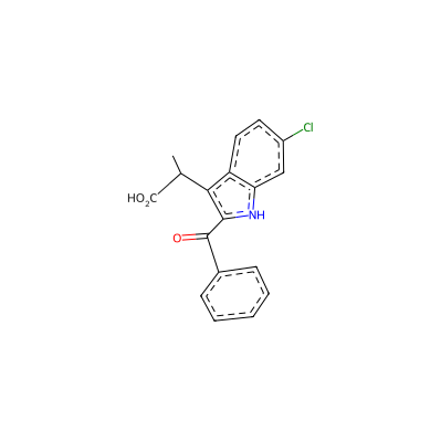 CC(C(=O)O)c1c(C(=O)c2ccccc2)[nH]c2cc(Cl)ccc12